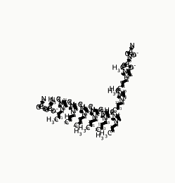 CCCC[n+]1ccn(C)c1.CCCC[n+]1ccn(C)c1.CCCC[n+]1ccn(C)c1.CCCC[n+]1ccn(C)c1.CCCC[n+]1ccn(C)c1.CCCC[n+]1ccn(C)c1.CCCC[n+]1ccn(C)c1.CCCC[n+]1ccn(C)c1.N#CB([O-])[O-].N#CB([O-])[O-].N#CB([O-])[O-].N#CB([O-])[O-]